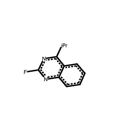 CC(C)c1nc(F)nc2ccccc12